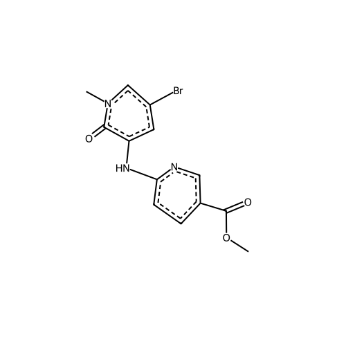 COC(=O)c1ccc(Nc2cc(Br)cn(C)c2=O)nc1